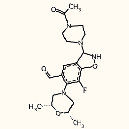 CC(=O)N1CCN(C2NOc3c2cc(C=O)c(N2C[C@@H](C)O[C@@H](C)C2)c3F)CC1